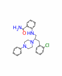 NC(=O)c1ccccc1NCC(Cc1ccccc1Cl)N1CCN(c2ccccc2)CC1